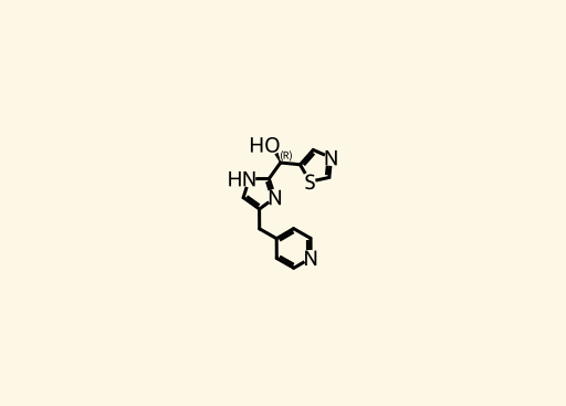 O[C@H](c1nc(Cc2ccncc2)c[nH]1)c1cncs1